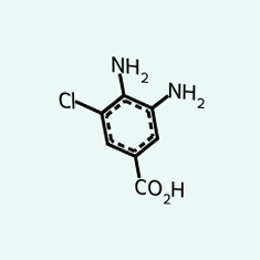 Nc1cc(C(=O)O)cc(Cl)c1N